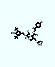 Cn1nnnc1SCC1=C(C(=O)OCC(=O)c2ccc(Br)cc2)N2C(=O)[C@@H](N=Cc3cc(C(C)(C)C)c(O)c(C(C)(C)C)c3)[C@@H]2SC1